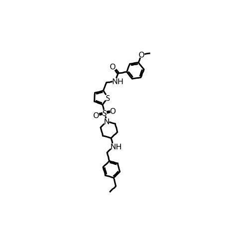 CCc1ccc(CNC2CCN(S(=O)(=O)c3ccc(CNC(=O)c4cccc(OC)c4)s3)CC2)cc1